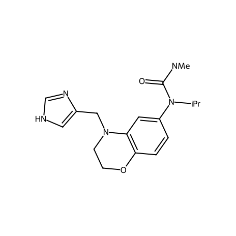 CNC(=O)N(c1ccc2c(c1)N(Cc1c[nH]cn1)CCO2)C(C)C